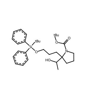 CC(O)C1(CCCO[Si](c2ccccc2)(c2ccccc2)C(C)(C)C)CCCN1C(=O)OC(C)(C)C